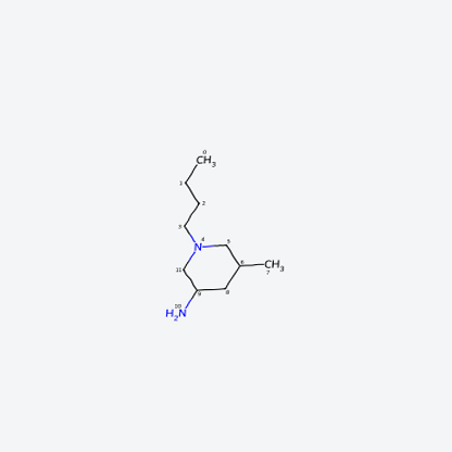 CCCCN1CC(C)CC(N)C1